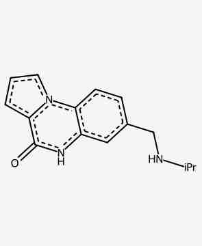 CC(C)NCc1ccc2c(c1)[nH]c(=O)c1cccn12